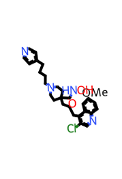 COc1ccc2ncc(Cl)c(CCCC3(C(=O)NO)CCN(CCCCc4ccncc4)CC3)c2c1